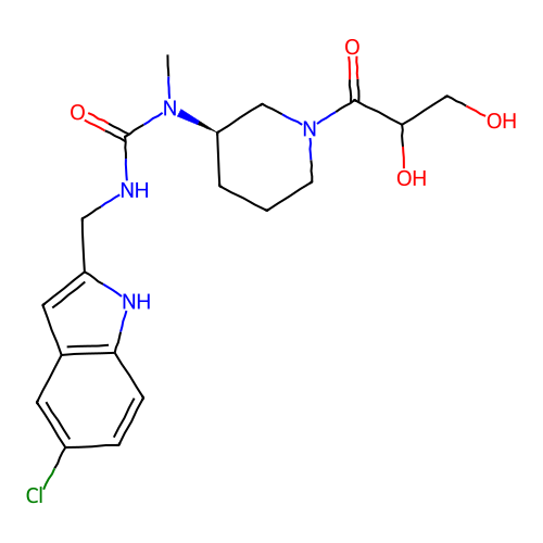 CN(C(=O)NCc1cc2cc(Cl)ccc2[nH]1)[C@@H]1CCCN(C(=O)C(O)CO)C1